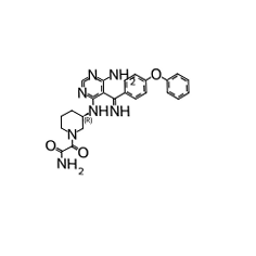 N=C(c1ccc(Oc2ccccc2)cc1)c1c(N)ncnc1N[C@@H]1CCCN(C(=O)C(N)=O)C1